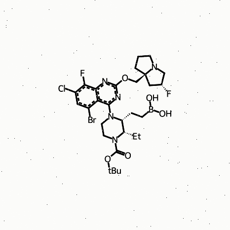 CC[C@H]1[C@@H](CCB(O)O)N(c2nc(OC[C@@]34CCCN3C[C@H](F)C4)nc3c(F)c(Cl)cc(Br)c23)CCN1C(=O)OC(C)(C)C